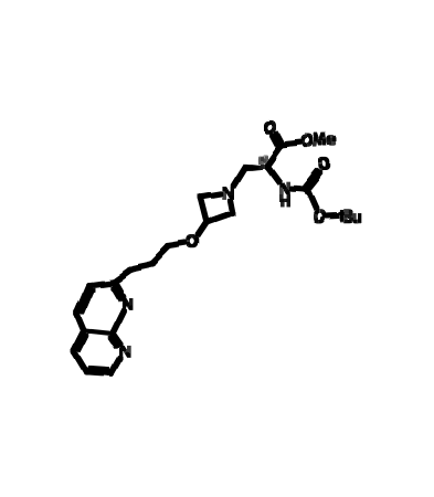 COC(=O)[C@H](CN1CC(OCCCc2ccc3cccnc3n2)C1)NC(=O)OC(C)(C)C